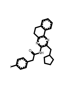 O=C(Cc1ccc(I)cc1)Nc1nc2c(nc1CC1CCCC1)-c1ccccc1CC2